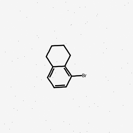 Brc1cccc2c1CCCC2